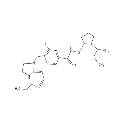 CCC/C=C\C=C1/NCCN1Cc1ccc(C(=N)NOC2CCCC2C(C)CC)cc1F